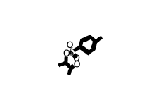 CC(=O)C(C)OS(=O)(=O)c1ccc(C)cc1